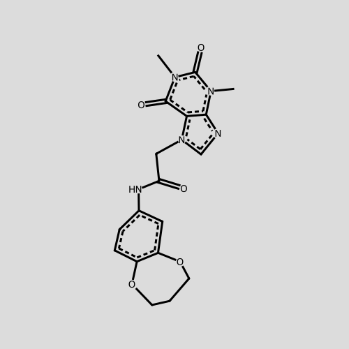 Cn1c(=O)c2c(ncn2CC(=O)Nc2ccc3c(c2)OCCCO3)n(C)c1=O